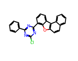 Clc1nc(-c2ccccc2)nc(-c2cccc3c2oc2ccc4ccccc4c23)n1